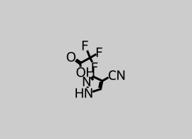 N#Cc1cn[nH]c1.O=C(O)C(F)(F)F